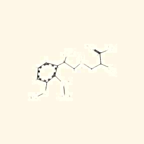 CCCCOc1cccc(C(O)CNCC(CC)C(=O)CCC)c1OCCCC